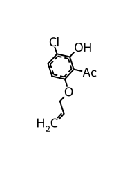 C=CCOc1ccc(Cl)c(O)c1C(C)=O